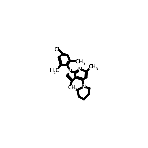 Cc1cc(N2CC[CH]CC2)c2c(C)cn(-c3c(C)cc(Cl)cc3C)c2n1